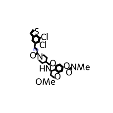 CNC(=O)Oc1ccc(C(CC(=O)OC)NC(=O)C2CCN(C(=O)/C=C/c3cc4ccsc4c(Cl)c3Cl)CC2)cc1